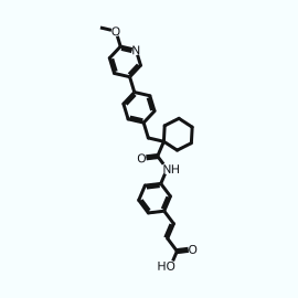 COc1ccc(-c2ccc(CC3(C(=O)Nc4cccc(/C=C/C(=O)O)c4)CCCCC3)cc2)cn1